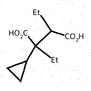 CCC(C(=O)O)C(CC)(C(=O)O)C1CC1